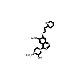 COc1cc2c(N3CCN(C(=O)O)C(C(C)(C)C)C3)ncnc2cc1OCCC1CCCCN1